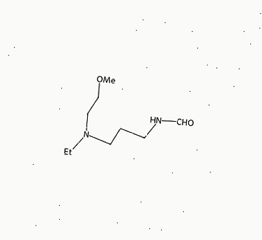 CCN(CCCNC=O)CCOC